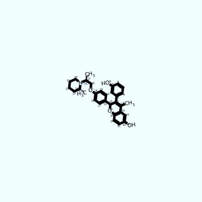 CC1=C(c2cccc(O)c2)C(c2ccc(OC[C@H](C)N3CCCC[C@H]3C)cc2)Oc2ccc(O)cc21